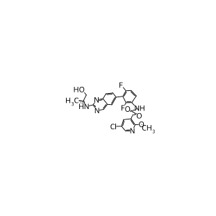 COc1ncc(Cl)cc1S(=O)(=O)Nc1ccc(F)c(-c2ccc3nc(N[C@@H](C)CO)ncc3c2)c1F